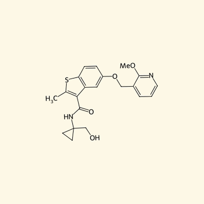 COc1ncccc1COc1ccc2sc(C)c(C(=O)NC3(CO)CC3)c2c1